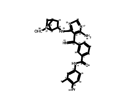 Cc1cc(NC(=O)c2cccc(C(=N)c3c(N)ncnc3NC3CC4CC3N(C=O)C4)c2)ccc1C(C)C